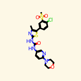 Cc1nc(NC(=O)Nc2ccc(N3CCOCC3)nc2)sc1-c1ccc(Cl)c(S(C)(=O)=O)c1